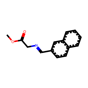 COC(=O)CN=Cc1ccc2ccccc2c1